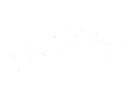 Cc1cc(-c2[nH]c3ccc(C(=O)N4CC5CN(C(=O)OC(C)(C)C)CC5C4)cc3c2C(C)C)cc(C)n1